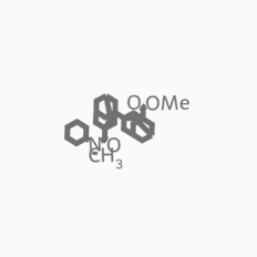 COC(=O)C12CC3CC(C1)CC(C14CC5CC(CC(C(=O)N(C)C6CCCCC6)(C5)C1)C4)(C3)C2